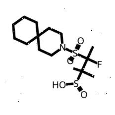 CC(C)(S(=O)O)C(C)(F)S(=O)(=O)N1CCC2(CCCCC2)CC1